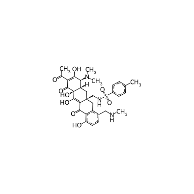 CNCc1ccc(O)c2c1C[C@@]1(CNS(=O)(=O)c3ccc(C)cc3)C[C@H]3[C@H](N(C)C)C(O)=C(C(C)=O)C(=O)[C@@]3(O)C(O)=C1C2=O